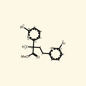 COC(=O)C(C)(CCc1cccc(C(C)=O)n1)c1cccc(C(C)C)n1